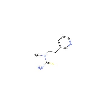 CN(CCc1cccnc1)C(N)=S